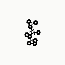 c1ccc(-c2nc(-c3ccc4c5ccccc5n(-c5ccccc5)c4c3)nc(-c3cc(N4c5ccccc5-c5cccc6cccc4c56)cc4ccccc34)n2)cc1